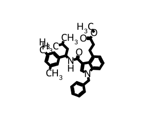 COC(=O)CCc1cccc2c1c(C(=O)NC(CC(C)C)c1cc(C)cc(C)c1)cn2Cc1ccccc1